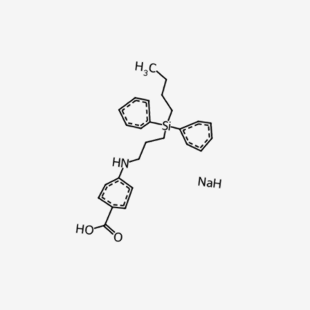 CCCC[Si](CCCNc1ccc(C(=O)O)cc1)(c1ccccc1)c1ccccc1.[NaH]